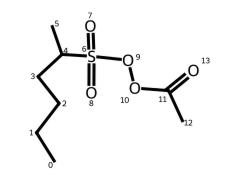 CCCCC(C)S(=O)(=O)OOC(C)=O